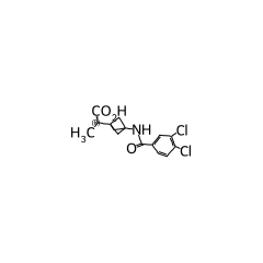 C[C@@H](C(=O)O)C12CC(NC(=O)c3ccc(Cl)c(Cl)c3)(C1)C2